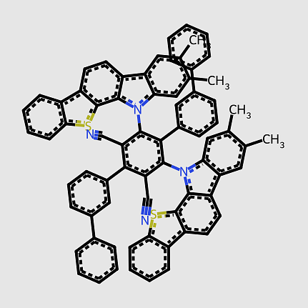 Cc1cc2c3ccc4c5ccccc5sc4c3n(-c3c(C#N)c(-c4cccc(-c5ccccc5)c4)c(C#N)c(-n4c5cc(C)c(C)cc5c5ccc6c7ccccc7sc6c54)c3-c3cccc(-c4ccccc4)c3)c2cc1C